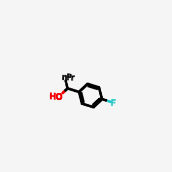 CCCC(O)c1ccc(F)cc1